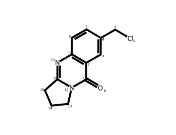 O=c1c2cc(CCl)ccc2nc2n1CCC2